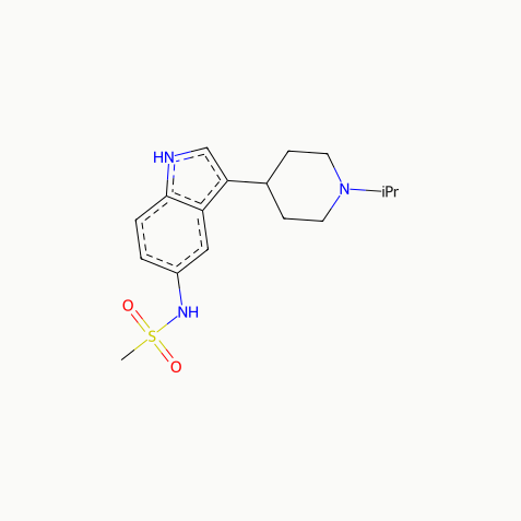 CC(C)N1CCC(c2c[nH]c3ccc(NS(C)(=O)=O)cc23)CC1